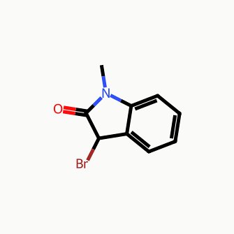 CN1C(=O)C(Br)c2ccccc21